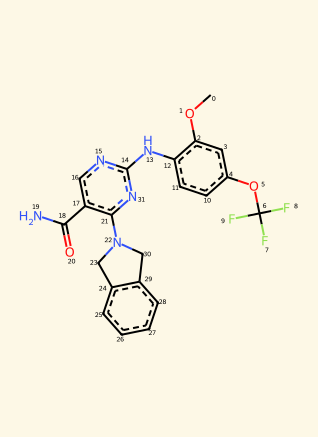 COc1cc(OC(F)(F)F)ccc1Nc1ncc(C(N)=O)c(N2Cc3ccccc3C2)n1